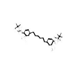 COc1cc(/C=C/C=C/C=C/c2ccc(O[Si](C)(C)C(C)(C)C)c(OC)c2)ccc1O[Si](C)(C)C(C)(C)C